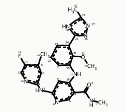 CNC(=O)c1cnc(Nc2cc(C)c(F)cn2)cc1Nc1cccc(-c2nnc(C)[nH]2)c1OC